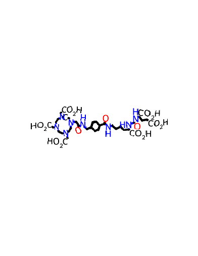 O=C(O)CCC(NC(=O)NC(CCCCNC(=O)C1CCC(CNC(=O)CN2CCN(CC(=O)O)CCN(CC(=O)O)CCN(CC(=O)O)CC2)CC1)C(=O)O)C(=O)O